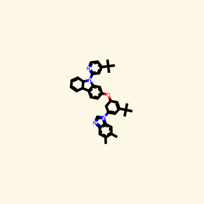 Cc1cc2ncn(C3=CC(C(C)(C)C)=CC(Oc4ccc5c(c4)N(c4cc(C(C)(C)C)ccn4)C4C=CC=CC54)C3)c2cc1C